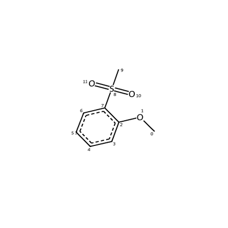 COc1cc[c]cc1S(C)(=O)=O